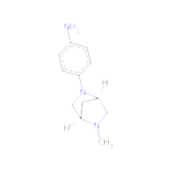 CN1C[C@H]2C[C@@H]1CN2c1ccc(N)cc1